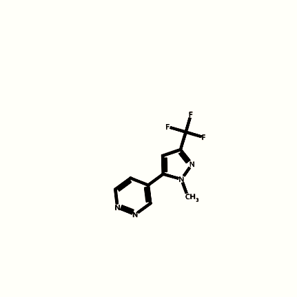 Cn1nc(C(F)(F)F)cc1-c1ccnnc1